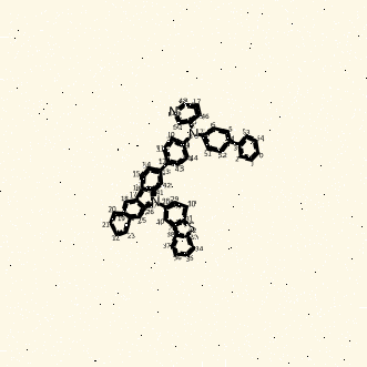 c1ccc(-c2ccc(N(c3ccc(-c4ccc5c6cc7ccccc7cc6n(-c6ccc7sc8ccccc8c7c6)c5c4)cc3)c3cccnc3)cc2)cc1